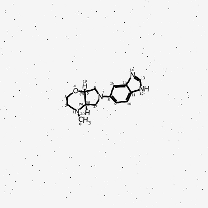 CN1CCO[C@@H]2CN(c3ccc4[nH]cnc4c3)C[C@@H]21